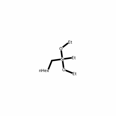 CCCCCCC[Si](CC)(OCC)OCC